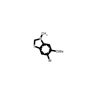 COc1cc2c(cc1Br)SCN2C